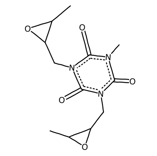 CC1OC1Cn1c(=O)n(C)c(=O)n(CC2OC2C)c1=O